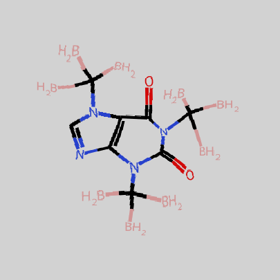 BC(B)(B)n1c(=O)c2c(ncn2C(B)(B)B)n(C(B)(B)B)c1=O